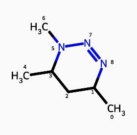 CC1CC(C)N(C)N=N1